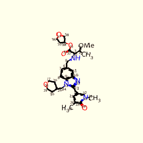 COC(C)[C@H](NCc1ccc2c(c1)nc(-c1cc(C)c(=O)n(C)c1)n2CC1CCOCC1)C(=O)O[C@H]1CCOC1